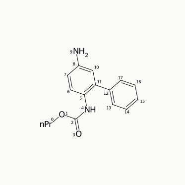 CCCOC(=O)Nc1ccc(N)cc1-c1ccccc1